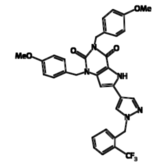 COc1ccc(Cn2c(=O)c3[nH]c(-c4cnn(Cc5ccccc5C(F)(F)F)c4)cc3n(Cc3ccc(OC)cc3)c2=O)cc1